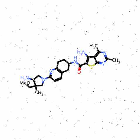 COCC1(C)CN(c2ccc3c(n2)CCC(NC(=O)c2sc4nc(C)nc(C)c4c2N)C3)CC1N